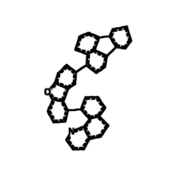 c1ccc2c(c1)-c1cccc3c(-c4ccc5oc6cccc(-c7cccc8ccc9cccnc9c78)c6c5c4)ccc-2c13